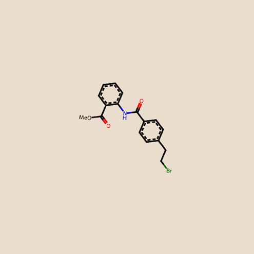 COC(=O)c1ccccc1NC(=O)c1ccc(CCBr)cc1